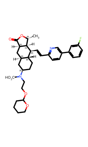 C[C@H]1OC(=O)[C@@H]2C[C@@H]3C[C@H](N(CCOC4CCCCO4)C(=O)O)CC[C@H]3[C@H](C=Cc3ccc(-c4cccc(F)c4)cn3)[C@H]12